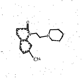 N#Cc1ccc2ccc(=O)n(CCN3CC[CH]CC3)c2c1